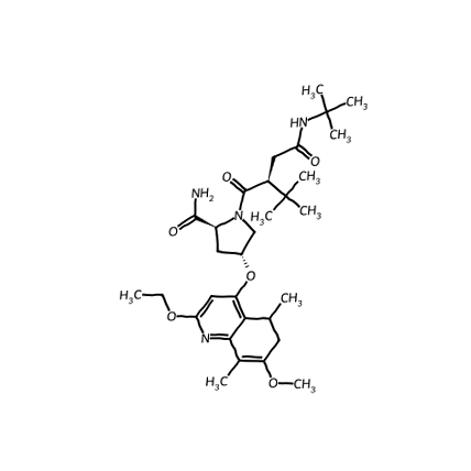 CCOc1cc(O[C@@H]2C[C@@H](C(N)=O)N(C(=O)[C@@H](CC(=O)NC(C)(C)C)C(C)(C)C)C2)c2c(n1)C(C)=C(OC)CC2C